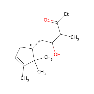 CCC(=O)C(C)C(O)C[C@H]1CC=C(C)C1(C)C